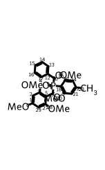 COc1cc(OC)c(C(=O)P(=O)(C(=O)c2ccccc2)c2c(OC)cc(C)cc2OC)c(OC)c1